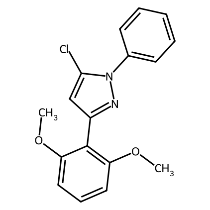 COc1cccc(OC)c1-c1cc(Cl)n(-c2ccccc2)n1